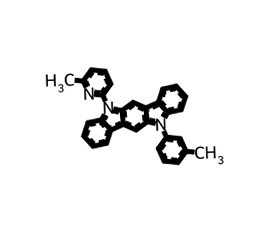 Cc1cccc(-n2c3ccccc3c3cc4c(cc32)c2ccccc2n4-c2cccc(C)n2)c1